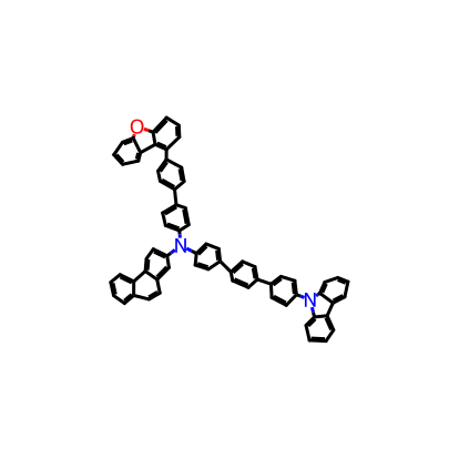 c1ccc2c(c1)ccc1cc(N(c3ccc(-c4ccc(-c5ccc(-n6c7ccccc7c7ccccc76)cc5)cc4)cc3)c3ccc(-c4ccc(-c5cccc6oc7ccccc7c56)cc4)cc3)ccc12